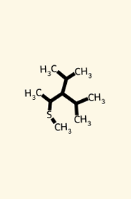 CSC(C)C(C(C)C)C(C)C